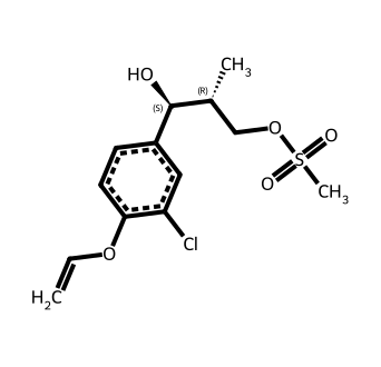 C=COc1ccc([C@@H](O)[C@H](C)COS(C)(=O)=O)cc1Cl